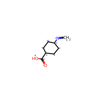 C=NC1CCC(C(=O)O)CC1